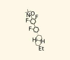 CCC1CC[C@@H]2C[C@H](c3ccc(-c4cc(F)c(C5=NC(C)(C)CO5)c(F)c4)c(F)c3)CC[C@@H]2C1